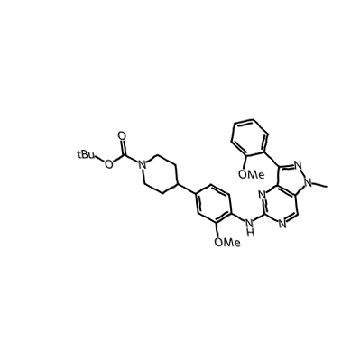 COc1cc(C2CCN(C(=O)OC(C)(C)C)CC2)ccc1Nc1ncc2c(n1)c(-c1ccccc1OC)nn2C